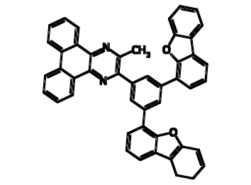 Cc1nc2c3ccccc3c3ccccc3c2nc1-c1cc(-c2cccc3c4c(oc23)C=CCC4)cc(-c2cccc3c2oc2ccccc23)c1